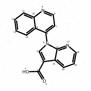 O=C(O)c1cn(-c2ccnc3ccccc23)c2ncccc12